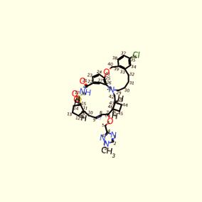 Cn1cnc(CO[C@H]2/C=C/C[C@H]3CCC[C@@H]3S(=O)(=O)NC(=O)c3ccc4c(c3)N(CCCCc3cc(Cl)ccc3CO4)C[C@@H]3CC[C@H]32)n1